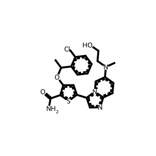 CC(Oc1cc(-c2cnc3ccc(N(C)CCO)cn23)sc1C(N)=O)c1ccccc1Cl